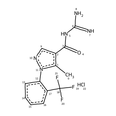 Cc1c(C(=O)NC(=N)N)cnn1-c1ccccc1C(F)(F)F.Cl